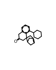 O=C1Cc2cccc(C3CCCCC3)c2C2(C1)CC1=CCC2C1